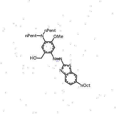 CCCCCCCCc1ccc2nc(/N=N/c3cc(OC)c(N(CCCCC)CCCCC)cc3CO)sc2c1